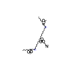 CCCCCC[C@H](C/C=C\CCCCCCCC(CCCCCCC/C=C\C[C@@H](CCCCCC)OC(C)=O)OC(=O)OCCCN(C)C)CC(C)=O